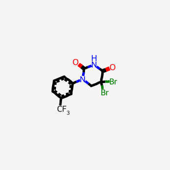 O=C1NC(=O)C(Br)(Br)CN1c1cccc(C(F)(F)F)c1